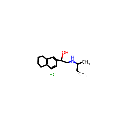 CCC(C)NCC(O)c1ccc2c(c1)CCCC2.Cl